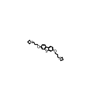 c1cc2c(cc1OCCCN1CCC1)sc1cc(OCCCN3CCC3)ccc12